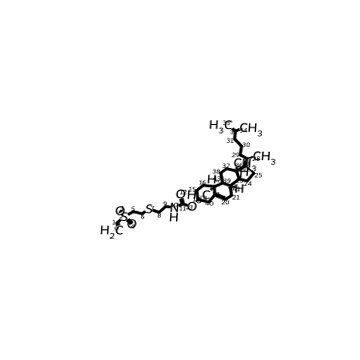 C=CS(=O)(=O)CCSCCNC(=O)O[C@H]1CC[C@@]2(C)C(=CC[C@H]3[C@@H]4CC[C@H]([C@H](C)CCCC(C)C)[C@@]4(C)CC[C@@H]32)C1